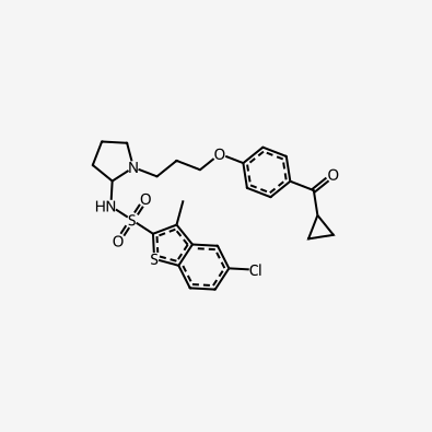 Cc1c(S(=O)(=O)NC2CCCN2CCCOc2ccc(C(=O)C3CC3)cc2)sc2ccc(Cl)cc12